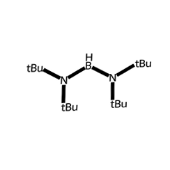 CC(C)(C)N(BN(C(C)(C)C)C(C)(C)C)C(C)(C)C